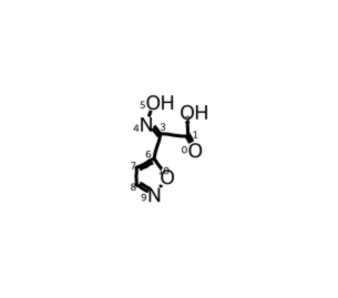 O=C(O)C(=NO)c1ccno1